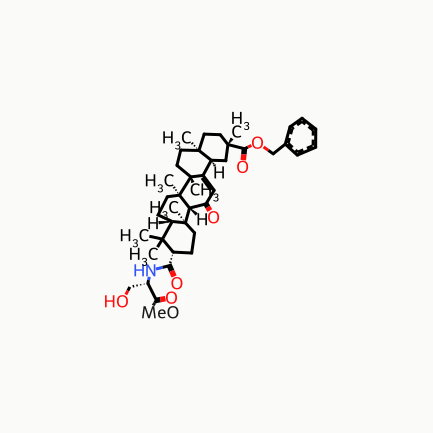 COC(=O)[C@H](CO)NC(=O)[C@H]1CC[C@]2(C)[C@H]3C(=O)C=C4[C@@H]5C[C@@](C)(C(=O)OCc6ccccc6)CC[C@]5(C)CC[C@@]4(C)[C@]3(C)CC[C@H]2C1(C)C